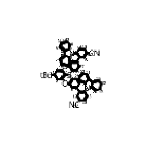 CC(C)(C)c1cc2c3c(c1)Oc1cc(-c4cc(C#N)ccc4-n4c5ccccc5c5ccccc54)ccc1B3c1ccc(-c3cc(C#N)ccc3-n3c4ccccc4c4ccccc43)cc1O2